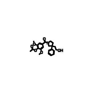 COc1cc(C(=O)N2CCC(CCO)(c3ccccc3)C2)cc(OC)c1OC(C)=O